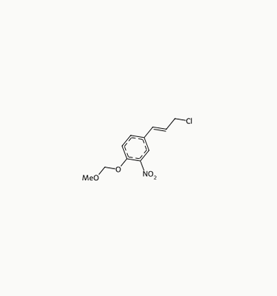 COCOc1ccc(C=CCCl)cc1[N+](=O)[O-]